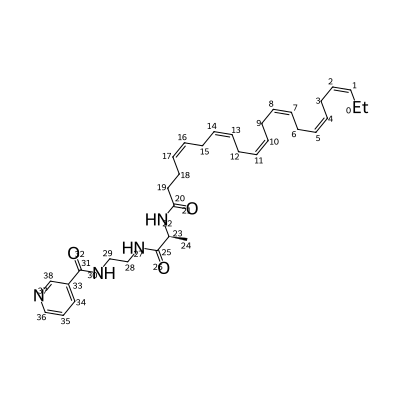 CC/C=C\C/C=C\C/C=C\C/C=C\C/C=C\C/C=C\CCC(=O)N[C@@H](C)C(=O)NCCNC(=O)c1cccnc1